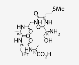 CSCC[C@H](NC(=O)[C@@H](N)CO)C(=O)NCC(=O)N[C@@H](C)C(=O)N[C@@H](CC(C)C)C(=O)N[C@@H](C)C(=O)O